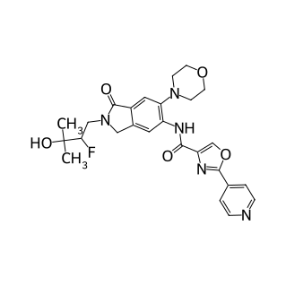 CC(C)(O)C(F)CN1Cc2cc(NC(=O)c3coc(-c4ccncc4)n3)c(N3CCOCC3)cc2C1=O